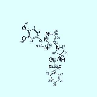 COc1ccc(-c2c(C)nc3c(N4CC[C@@H](NC(=O)C(F)(F)c5ccccc5)C4)cc(C)nn23)cc1OC